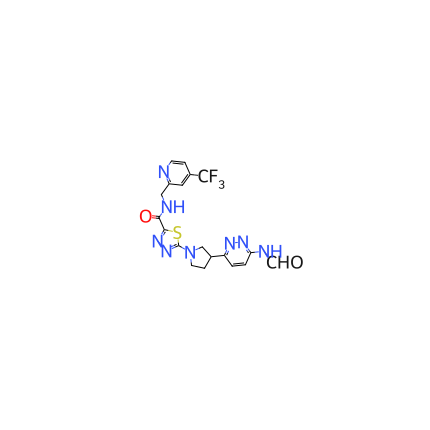 O=CNc1ccc(C2CCN(c3nnc(C(=O)NCc4cc(C(F)(F)F)ccn4)s3)C2)nn1